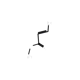 CC/C=C/C(=O)OC(C)C